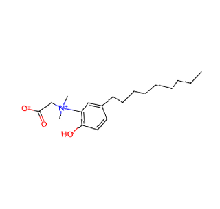 CCCCCCCCCc1ccc(O)c([N+](C)(C)CC(=O)[O-])c1